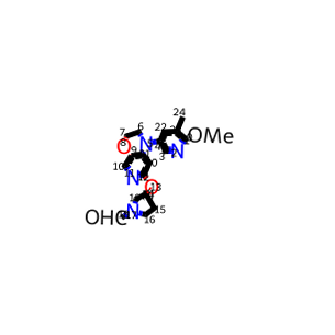 COc1ncc(N2CCOc3cnc(O[C@@H]4CCN(C=O)C4)cc32)cc1C